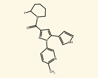 Cc1ccc(-n2nc(C(=O)N3CCCCC3F)cc2-c2cc[nH]c2)cn1